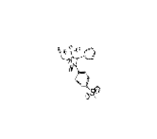 C#CCn1nc(-c2ccc(S(C)(=O)=O)cc2)c(-c2ccccc2)c1C(F)(F)F